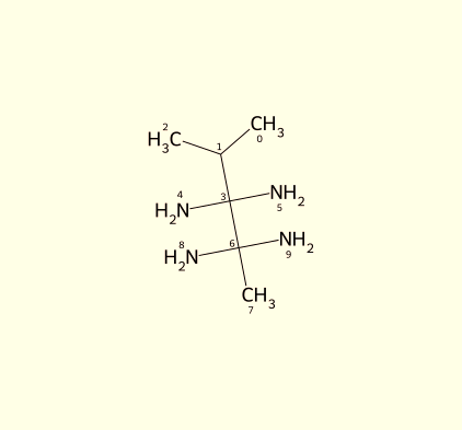 CC(C)C(N)(N)C(C)(N)N